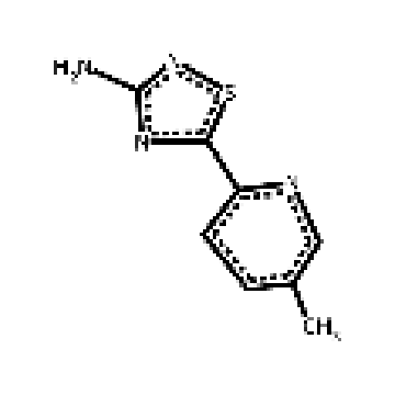 Cc1ccc(-c2nc(N)ns2)nc1